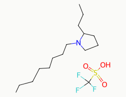 CCCCCCCCN1CCCC1CCC.O=S(=O)(O)C(F)(F)F